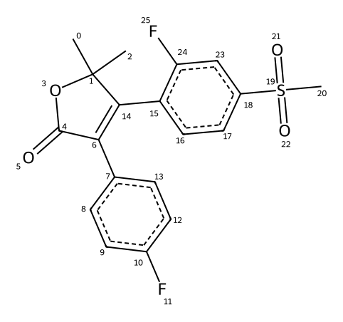 CC1(C)OC(=O)C(c2ccc(F)cc2)=C1c1ccc(S(C)(=O)=O)cc1F